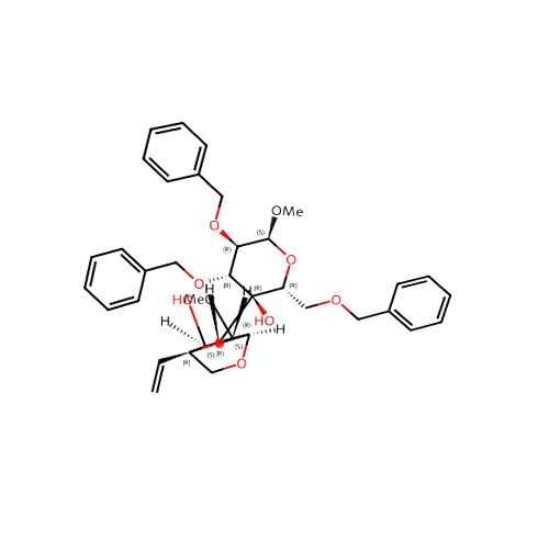 C=C[C@@]12CO[C@H]([C@@H](OC)[C@@H]1O)[C@H]([C@]1(O)[C@H](OCc3ccccc3)[C@@H](OCc3ccccc3)[C@@H](OC)O[C@@H]1COCc1ccccc1)O2